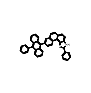 c1ccc(-c2c3ccccc3c(-c3ccc4c(ccc5ccc6c(c54)OC(c4ccccc4)N6)c3)c3ccccc23)cc1